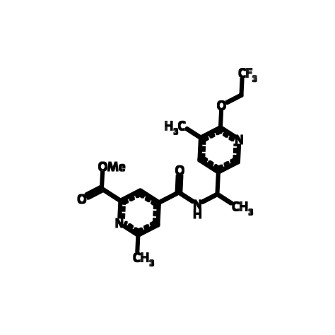 COC(=O)c1cc(C(=O)NC(C)c2cnc(OCC(F)(F)F)c(C)c2)cc(C)n1